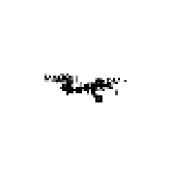 COC(=O)N[C@@H](C)C(=O)N1CCC[C@H]1c1nc(C(=O)OCc2ccccc2)c(-c2ccc(-c3ccc(-c4cnc([C@@H]5CCCN5C(=O)[C@@H](C)NC(=O)OC)[nH]4)cc3)cc2)[nH]1